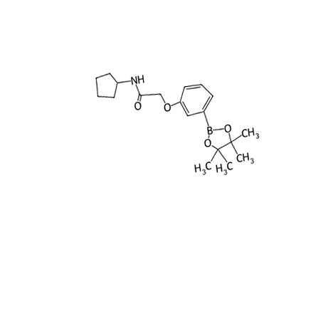 CC1(C)OB(c2cccc(OCC(=O)NC3CCCC3)c2)OC1(C)C